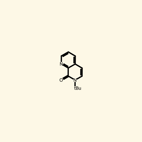 CC(C)(C)n1ccc2cccnc2c1=O